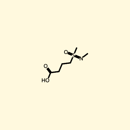 CN=S(C)(=O)CCCC(=O)O